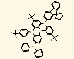 CC(C)(C)c1ccc(N2c3cc(N(c4ccccc4)c4ccccc4)ccc3B3c4cc(C(C)(C)C)ccc4N(c4ccc5c(c4)C4(CCCC4)c4ccccc4-5)c4cc(C(C)(C)C)cc2c43)cc1